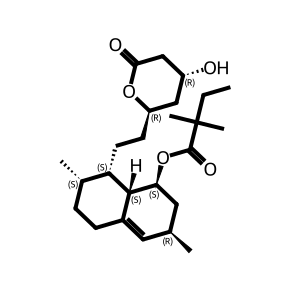 CCC(C)(C)C(=O)O[C@H]1C[C@@H](C)C=C2CC[C@H](C)[C@H](CC[C@@H]3C[C@@H](O)CC(=O)O3)[C@@H]21